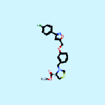 COC(=O)[C@@H]1CSCN1Cc1cccc(OCc2cc(-c3ccc(Cl)cc3)no2)c1